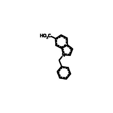 O=C(O)c1ccc2ccn(Cc3ccccc3)c2c1